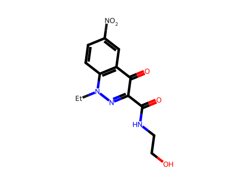 CCn1nc(C(=O)NCCO)c(=O)c2cc([N+](=O)[O-])ccc21